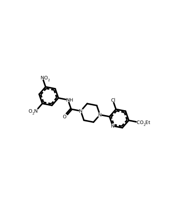 CCOC(=O)c1cnc(N2CCN(C(=O)Nc3cc([N+](=O)[O-])cc([N+](=O)[O-])c3)CC2)c(Cl)c1